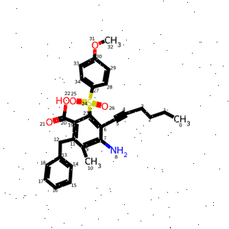 CCCCC#Cc1c(N)c(C)c(Cc2ccccc2)c(C(=O)O)c1S(=O)(=O)c1ccc(OC)cc1